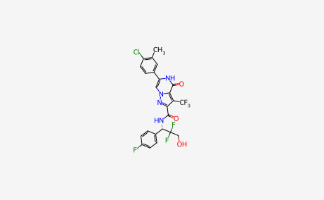 Cc1cc(-c2cn3nc(C(=O)N[C@@H](c4ccc(F)cc4)C(F)(F)CO)c(C(F)(F)F)c3c(=O)[nH]2)ccc1Cl